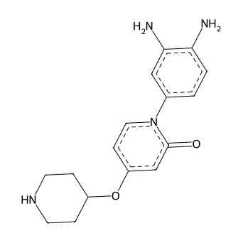 Nc1ccc(-n2ccc(OC3CCNCC3)cc2=O)cc1N